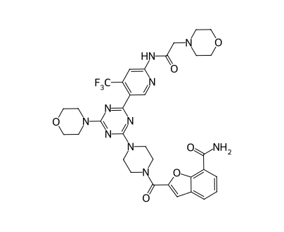 NC(=O)c1cccc2cc(C(=O)N3CCN(c4nc(-c5cnc(NC(=O)CN6CCOCC6)cc5C(F)(F)F)nc(N5CCOCC5)n4)CC3)oc12